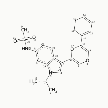 CC(C)n1cc(C2=COC=C(C3=CC=CCC3)O2)c2ccc(NS(C)(=O)=O)cc21